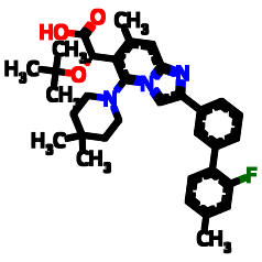 Cc1ccc(-c2cccc(-c3cn4c(N5CCC(C)(C)CC5)c([C@H](OC(C)(C)C)C(=O)O)c(C)cc4n3)c2)c(F)c1